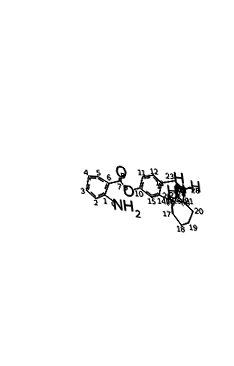 Nc1ccccc1C(=O)Oc1ccc2c(c1)[C@@]13CCCC[C@H]1[C@@H](C2)NCC3